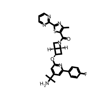 Cc1nc(-c2ncccn2)sc1C(=O)N1C[C@@H]2[C@H]1C[C@H]2Oc1cc(C(C)(C)N)cc(-c2ccc(F)cc2)n1